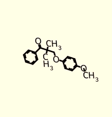 COc1ccc(OCC(C)(C)C(=O)c2ccccc2)cc1